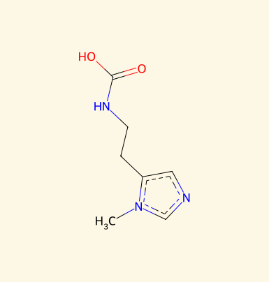 Cn1cncc1CCNC(=O)O